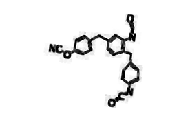 N#COc1ccc(Cc2ccc(Cc3ccc(N=C=O)cc3)c(N=C=O)c2)cc1